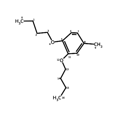 CCCCOc1ccc(C)cc1OCCCC